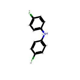 Fc1ccc(Nc2ccc(F)cc2)cc1